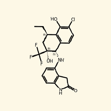 CC[C@@H]1C[C@](O)(C(F)(F)F)[C@@H](Nc2cccc3c2CC(=O)N3)c2ccc(Cl)c(O)c21